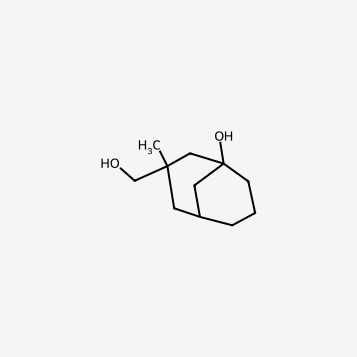 CC1(CO)CC2CCCC(O)(C2)C1